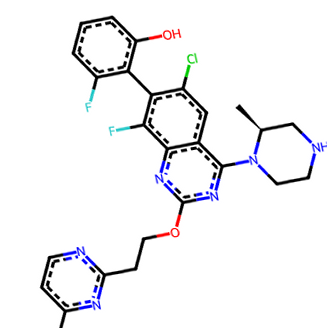 Cc1ccnc(CCOc2nc(N3CCNC[C@@H]3C)c3cc(Cl)c(-c4c(O)cccc4F)c(F)c3n2)n1